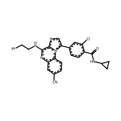 CC(C)CCNc1nc2cc(C#N)ccc2n2c(-c3ccc(C(=O)NC4CC4)c(Cl)c3)cnc12